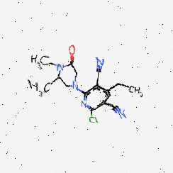 CCc1c(C#N)c(Cl)nc(N2CC(=O)N(C)C(C)C2)c1C#N